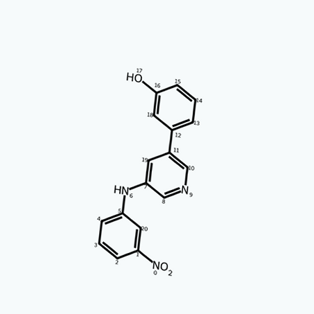 O=[N+]([O-])c1cccc(Nc2cncc(-c3cccc(O)c3)c2)c1